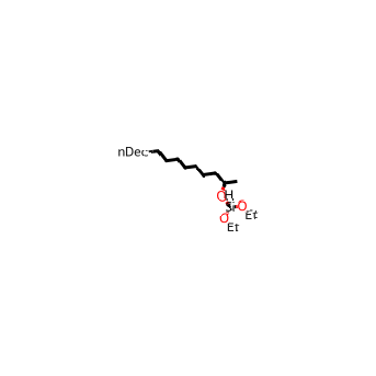 CCCCCCCCCCCCCCCCCC(C)O[SiH](OCC)OCC